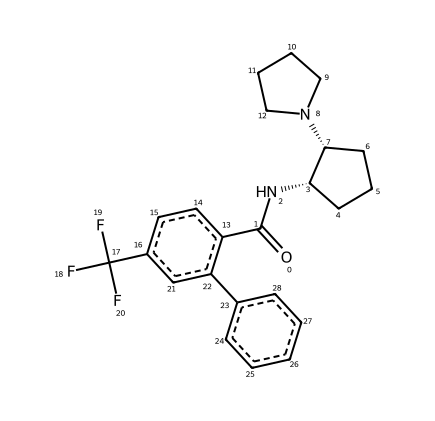 O=C(N[C@H]1CCC[C@H]1N1CCCC1)c1ccc(C(F)(F)F)cc1-c1ccccc1